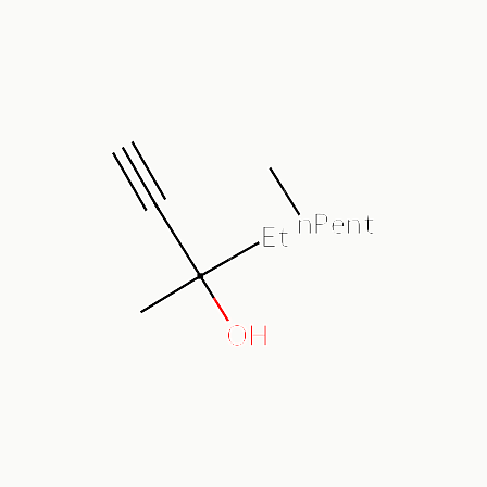 C#CC(C)(O)CC.CCCCCC